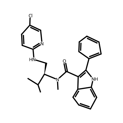 CC(C)[C@@H](CNc1ccc(Cl)cn1)N(C)C(=O)c1c(-c2ccccc2)[nH]c2ccccc12